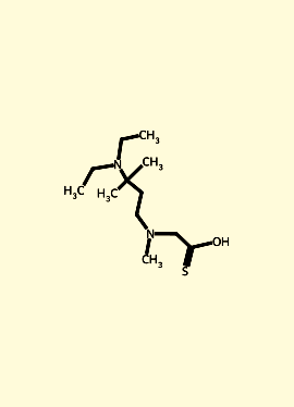 CCN(CC)C(C)(C)CCN(C)CC(O)=S